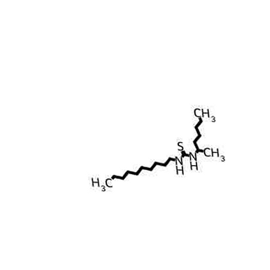 CCCCCCCCCCNC(=S)NC(C)CCCCC